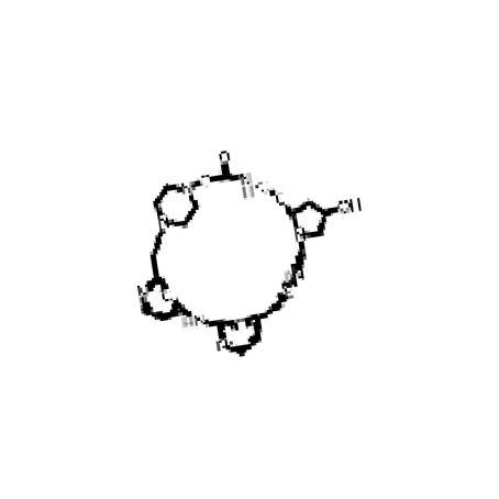 O=C1CN2CCN(CC2)Cc2cc(ccn2)Nc2cc(ccn2)-c2cnc(nc2)N2CC(O)CC2CCN1